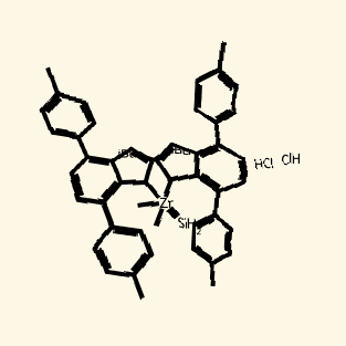 CCC(C)C1=Cc2c(-c3ccc(C)cc3)ccc(-c3ccc(C)cc3)c2[CH]1[Zr]([CH3])([CH3])(=[SiH2])[CH]1C(C(C)CC)=Cc2c(-c3ccc(C)cc3)ccc(-c3ccc(C)cc3)c21.Cl.Cl